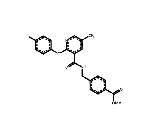 COC(=O)c1ccc(CNC(=O)c2cc(C(F)(F)F)cnc2Oc2ccc(F)cc2)cc1